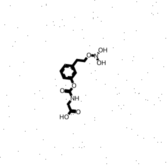 O=C(O)CNC(=O)Oc1cccc(CCON(O)O)c1